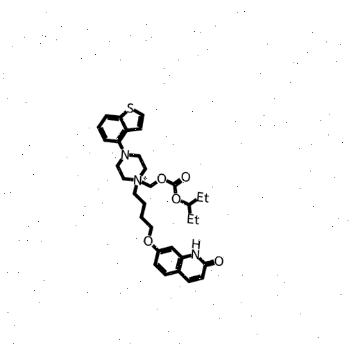 CCC(CC)OC(=O)OC[N+]1(CCCCOc2ccc3ccc(=O)[nH]c3c2)CCN(c2cccc3sccc23)CC1